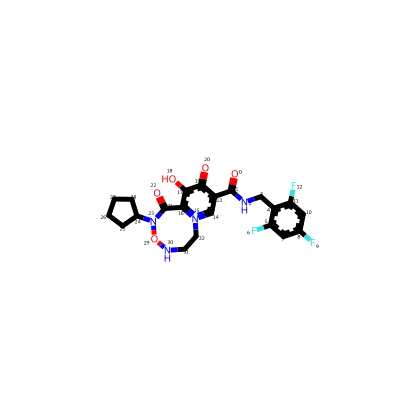 O=C(NCc1c(F)cc(F)cc1F)c1cn2c(c(O)c1=O)C(=O)N(C1CCCC1)ONCC2